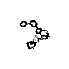 CC1(C)COc2cc(-c3cccc(-c4ccccc4)c3)ccc2C1NC(=O)O[C@H]1CN2CCC1CC2